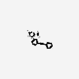 O=C1N[C@H](c2cccc(C#Cc3ccccc3)c2)[C@@H](C(=O)Cl)O1